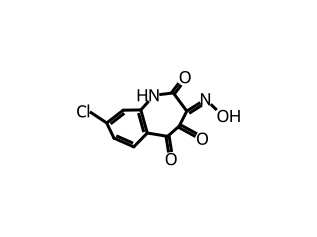 O=C1Nc2cc(Cl)ccc2C(=O)C(=O)C1=NO